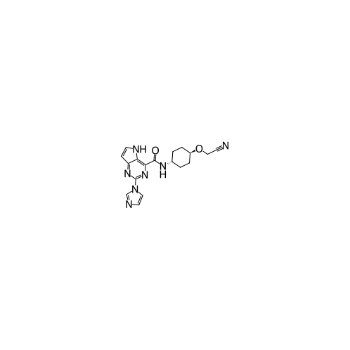 N#CCO[C@H]1CC[C@H](NC(=O)c2nc(-n3ccnc3)nc3cc[nH]c23)CC1